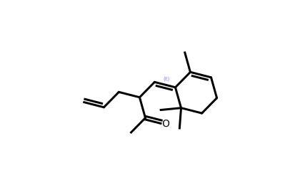 C=CCC(/C=C1/C(C)=CCCC1(C)C)C(C)=O